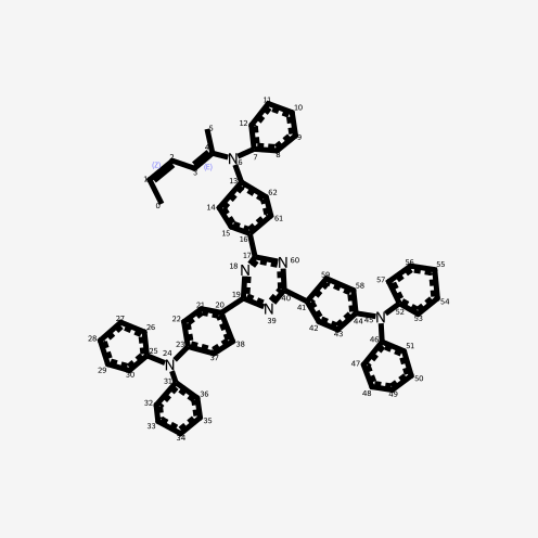 C/C=C\C=C(/C)N(c1ccccc1)c1ccc(-c2nc(-c3ccc(N(c4ccccc4)c4ccccc4)cc3)nc(-c3ccc(N(c4ccccc4)c4ccccc4)cc3)n2)cc1